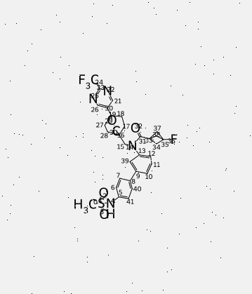 CS(=O)(=O)Nc1ccc(-c2cccc(N(CC34CCC(c5cnc(C(F)(F)F)nc5)(CC3)OC4)C(=O)C34CC(F)(C3)C4)c2)cc1